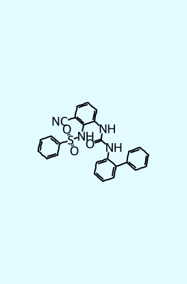 N#Cc1cccc(NC(=O)Nc2ccccc2-c2ccccc2)c1NS(=O)(=O)c1ccccc1